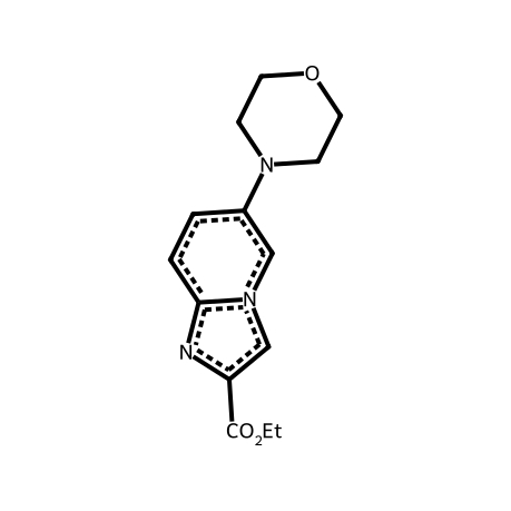 CCOC(=O)c1cn2cc(N3CCOCC3)ccc2n1